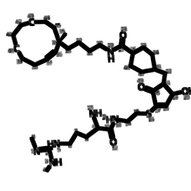 C/N=C(/NC)NCCCC(N)C(=O)NCCSC1=CC(O)C(CC2CCC(C(=O)NCCCC[C@]3(C)/C=C\CCCCCCCC3)CC2)C1=O